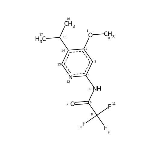 COc1cc(NC(=O)C(F)(F)F)ncc1C(C)C